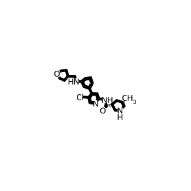 C[C@H]1CNC[C@H](C(=O)Nc2cc(-c3cccc(NCC4CCOCC4)c3)c(Cl)cn2)C1